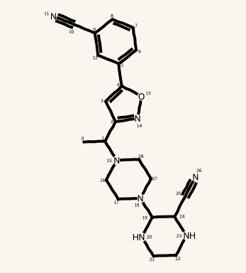 CC(c1cc(-c2cccc(C#N)c2)on1)N1CCN(C2NCCNC2C#N)CC1